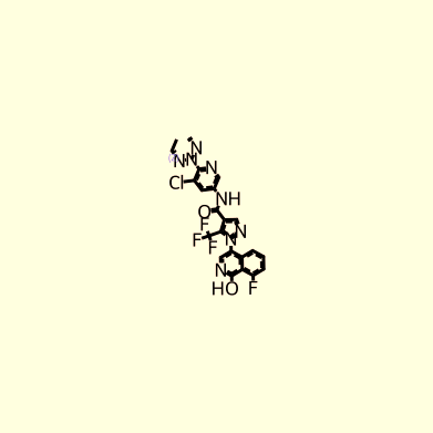 C=NN(/N=C\C)c1ncc(NC(=O)c2cnn(-c3cnc(O)c4c(F)cccc34)c2C(F)(F)F)cc1Cl